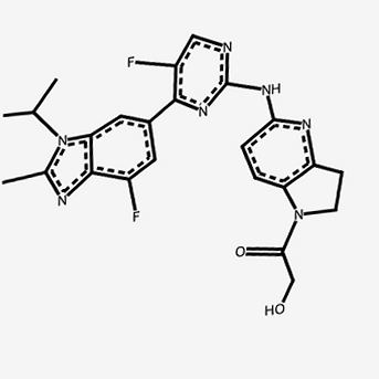 Cc1nc2c(F)cc(-c3nc(Nc4ccc5c(n4)CCN5C(=O)CO)ncc3F)cc2n1C(C)C